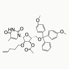 C=CCCCO[C@@H]1[C@H](OC(C)=O)[C@@H](COC(c2ccccc2)(c2ccc(OC)cc2)c2ccc(OC)cc2)O[C@H]1n1cc(C)c(=O)[nH]c1=O